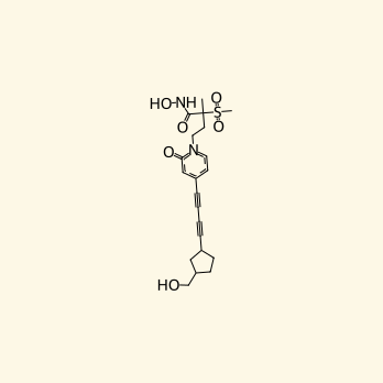 CC(CCn1ccc(C#CC#CC2CCC(CO)C2)cc1=O)(C(=O)NO)S(C)(=O)=O